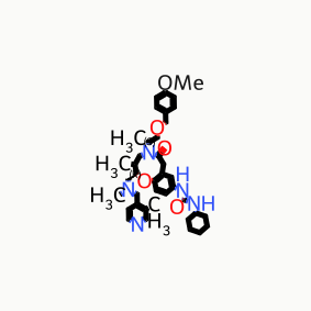 COc1ccc(COC[C@H](C)N2CC(C)[C@H](CN(C)Cc3ccncc3C)Oc3ccc(NC(=O)NC4CCCCC4)cc3CC2=O)cc1